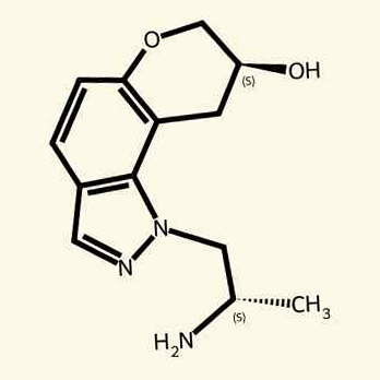 C[C@H](N)Cn1ncc2ccc3c(c21)C[C@H](O)CO3